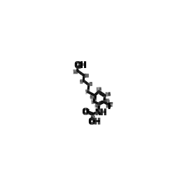 O=C(O)Nc1cc(CCCCCO)ccc1F